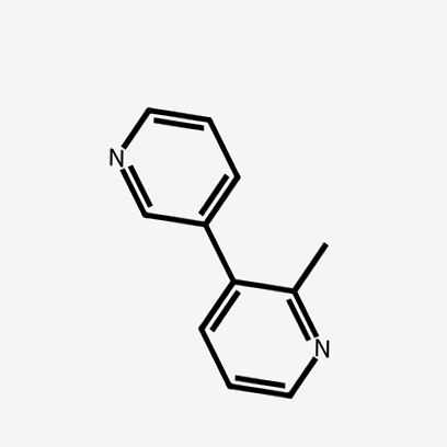 Cc1ncccc1-c1cccnc1